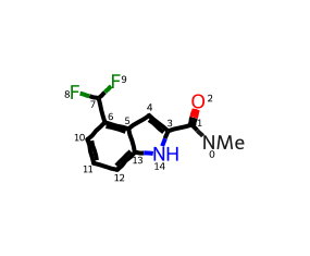 CNC(=O)c1cc2c(C(F)F)cccc2[nH]1